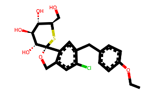 CCOc1ccc(Cc2cc3c(cc2Cl)CO[C@]32S[C@H](CO)[C@@H](O)[C@H](O)[C@H]2O)cc1